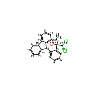 CC([O])(c1ccccc1C1c2ccccc2-c2ccccc21)C(Cl)Cl